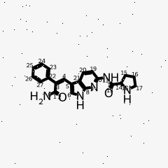 NC(=O)C(=Cc1c[nH]c2nc(NC(=O)C3CCCN3)ccc12)c1ccccc1